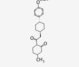 CCCCOc1ccc([C@H]2CC[C@H](CC(=O)C3CCC(C)CC3=O)CC2)cc1